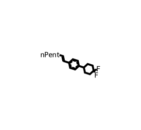 CCCCC/C=C/c1ccc(C2CCC(F)(F)CC2)cc1